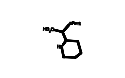 CCCCCC(C(=O)O)C1CCCCN1